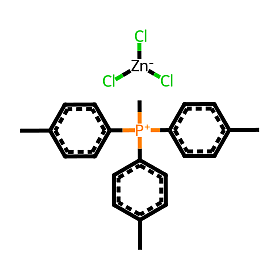 Cc1ccc([P+](C)(c2ccc(C)cc2)c2ccc(C)cc2)cc1.[Cl][Zn-]([Cl])[Cl]